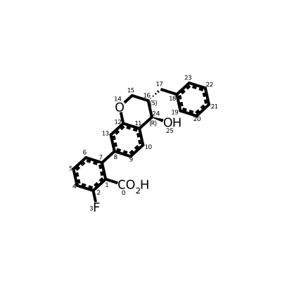 O=C(O)c1c(F)cccc1-c1ccc2c(c1)OC[C@H](Cc1ccccc1)[C@H]2O